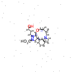 C/C1=C/O/C=C2\C(=C3\CCCC4=C3N(CC4)CC1C)CN(C(=O)O)N2CCCO